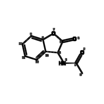 CC(=O)NC1C(=O)Oc2ccccc21